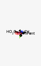 CCCCCC(C)c1ccc2c(-c3ccc(F)cc3)c(/C=C/[C@@H](O)C[C@@H](O)CC(=O)O)c(C3CC3)nc2c1